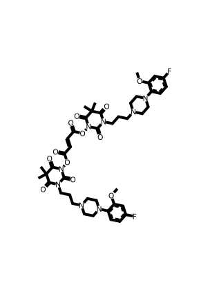 COc1cc(F)ccc1N1CCN(CCCN2C(=O)N(OC(=O)/C=C/C(=O)ON3C(=O)N(CCCN4CCN(c5ccc(F)cc5OC)CC4)C(=O)C(C)(C)C3=O)C(=O)C(C)(C)C2=O)CC1